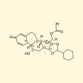 CC(C)C(=O)OCC(=O)[C@@]12OC(C3CCCCC3)O[C@@H]1C[C@H]1[C@@H]3CCC4=CC(=O)C=C[C@]4(C)[C@H]3[C@@H](O)C[C@@]12C